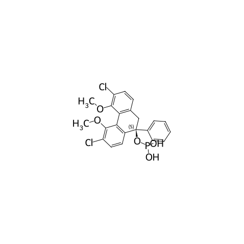 COc1c(Cl)ccc2c1-c1c(ccc(Cl)c1OC)[C@@](OP(O)O)(c1ccccc1)C2